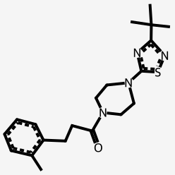 Cc1ccccc1CCC(=O)N1CCN(c2nc(C(C)(C)C)ns2)CC1